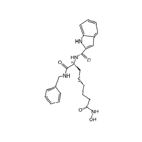 O=C(CCCSC[C@H](NC(=O)c1cc2ccccc2[nH]1)C(=O)NCc1ccccc1)NO